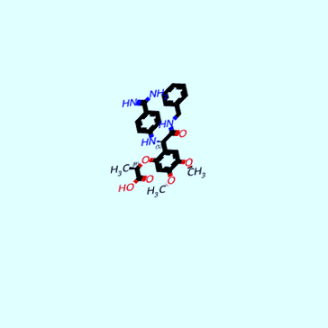 COc1cc(O[C@H](C)C(=O)O)c([C@H](Nc2ccc(C(=N)N)cc2)C(=O)NCc2ccccc2)cc1OC